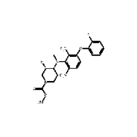 CN(c1c([N+](=O)[O-])ccc(Oc2ccccc2F)c1C(F)(F)F)[C@H]1CCN(C(=O)OC(C)(C)C)C[C@H]1F